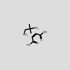 CC(C)(N)CN.O=C(O)/C=C\C(=O)O